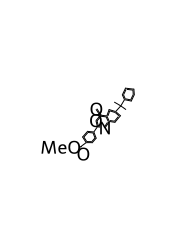 COC(=O)c1ccc(-c2nc3ccc(C(C)(C)c4ccccc4)cc3c(=O)o2)cc1